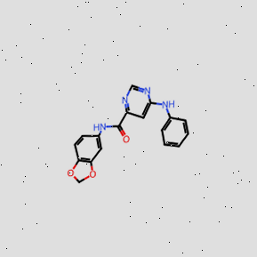 O=C(Nc1ccc2c(c1)OCO2)c1cc(Nc2ccccc2)ncn1